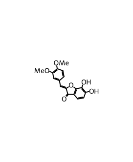 COc1ccc(/C=C2\Oc3c(ccc(O)c3O)C2=O)cc1OC